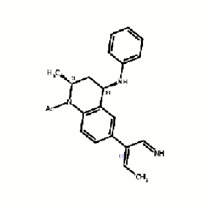 C/C=C(\C=N)c1ccc2c(c1)[C@H](Nc1ccccc1)C[C@H](C)N2C(C)=O